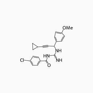 COc1ccc(C(C#CC2CC2)NC(=N)NC(=O)c2ccc(Cl)cc2)cc1